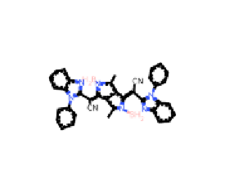 Bn1c(C)c2/c(=C(\C#N)c3nc4ccccc4n3-c3ccccc3)n(B)c(C)c2/c1=C(\C#N)c1nc2ccccc2n1-c1ccccc1